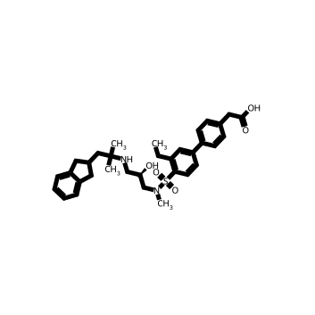 CCc1cc(-c2ccc(CC(=O)O)cc2)ccc1S(=O)(=O)N(C)C[C@H](O)CNC(C)(C)CC1Cc2ccccc2C1